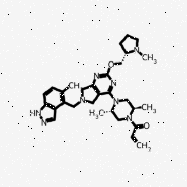 C=CC(=O)N1C[C@H](C)N(c2nc(OC[C@@H]3CCCN3C)nc3c2CN(Cc2c(C)ccc4[nH]ncc24)C3)C[C@H]1C